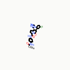 COC(=O)Nc1ccc(NC(=O)C2CCc3cc(-c4cc(Cl)ccc4-n4cnnc4)cc(=O)n32)cc1